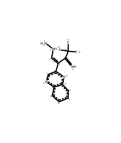 N=C(/C(=C\NN)c1cnc2ccccc2n1)C(F)(F)F